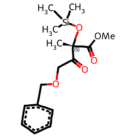 COC(=O)[C@@](C)(O[Si](C)(C)C)C(=O)COCc1ccccc1